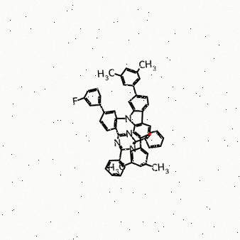 Cc1cc(C)cc(-c2ccc3c4ccc(-c5cc(C)cc(C)c5)cc4n(-c4cc(-c5cccc(F)c5)ccc4-c4nc(-c5ccccc5)nc(-c5ccccc5)n4)c3c2)c1